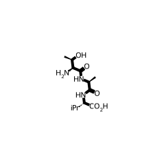 CC(C)[C@H](NC(=O)[C@H](C)NC(=O)[C@@H](N)[C@@H](C)O)C(=O)O